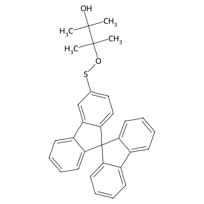 CC(C)(O)C(C)(C)OSc1ccc2c(c1)-c1ccccc1C21c2ccccc2-c2ccccc21